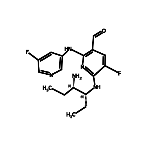 CC[C@H](N)[C@@H](CC)Nc1nc(Nc2cncc(F)c2)c(C=O)cc1F